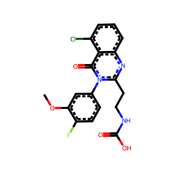 COc1cc(-n2c(CCNC(=O)O)nc3cccc(Cl)c3c2=O)ccc1F